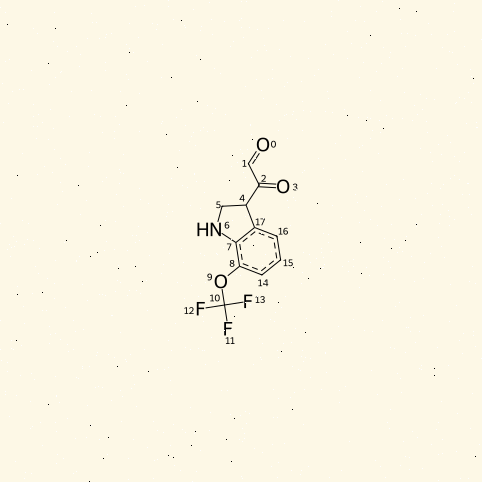 O=CC(=O)C1CNc2c(OC(F)(F)F)cccc21